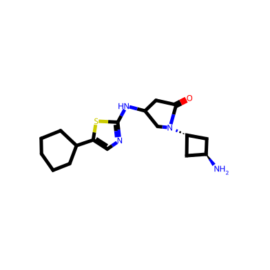 N[C@H]1C[C@H](N2CC(Nc3ncc(C4CCCCC4)s3)CC2=O)C1